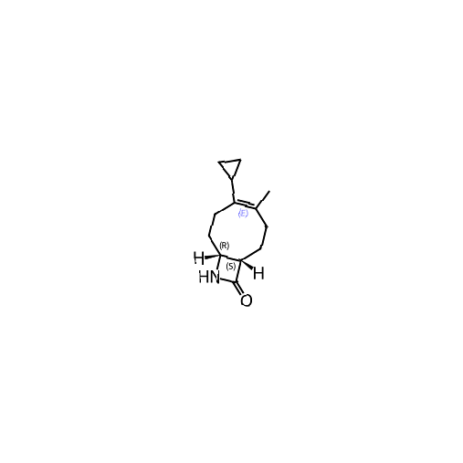 C/C1=C(\C2CC2)CC[C@H]2NC(=O)[C@H]2CC1